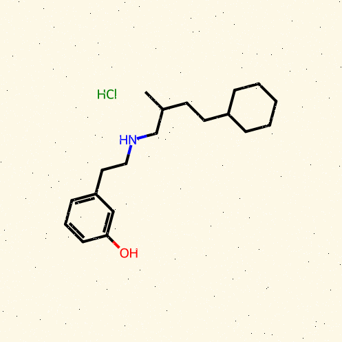 CC(CCC1CCCCC1)CNCCc1cccc(O)c1.Cl